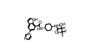 CC(O)(C(=O)N[C@H]1CC[C@H](NC(=O)c2cc(-n3ccnc3)cc3cc[nH]c23)CC1)C(F)(F)F